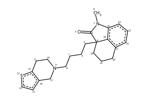 CN1C(=O)C2(CCCCN3CCc4sccc4C3)CCCc3cccc1c32